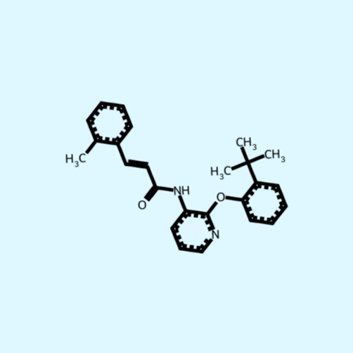 Cc1ccccc1C=CC(=O)Nc1cccnc1Oc1ccccc1C(C)(C)C